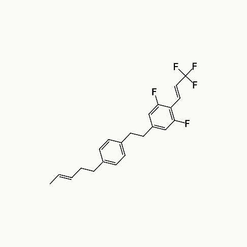 C/C=C/CCc1ccc(CCc2cc(F)c(/C=C/C(F)(F)F)c(F)c2)cc1